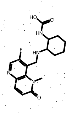 Cn1c(=O)ccc2ncc(F)c(CNC3CCCCC3NC(=O)O)c21